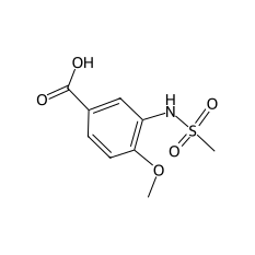 COc1ccc(C(=O)O)cc1NS(C)(=O)=O